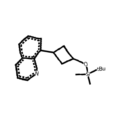 CC(C)(C)[Si](C)(C)OC1CC(c2cccc3cccnc23)C1